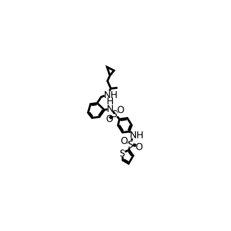 CC(CC1CC1)NCc1ccccc1NS(=O)(=O)c1ccc(NS(=O)(=O)c2cccs2)cc1